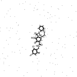 O=C(NCc1c(F)cc(F)cc1F)c1cn2c(c(O)c1=O)C(=O)N1CC2CCc2ccccc21